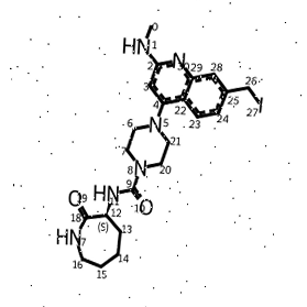 CNc1cc(N2CCN(C(=O)N[C@H]3CCCCNC3=O)CC2)c2ccc(CI)cc2n1